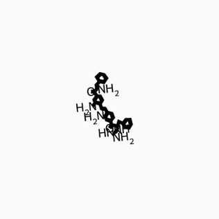 N=C(N)NC(Cc1ccccc1)C(=O)c1ccc(/C=C/c2ccc(C(=O)C(N)Cc3ccccc3)cc2N)c(N)c1